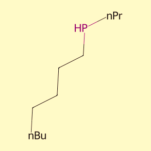 CCCCCCCCPCCC